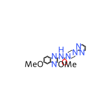 COc1ccc2nc(NC(=O)N3CCN(c4ncccn4)CC3)c(OC)nc2c1